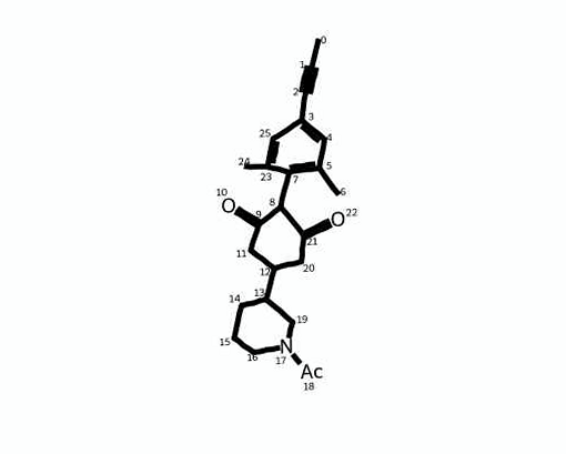 CC#Cc1cc(C)c(C2C(=O)CC(C3CCCN(C(C)=O)C3)CC2=O)c(C)c1